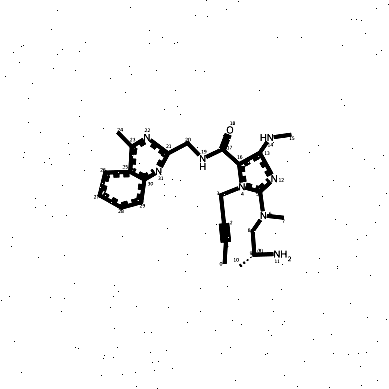 CC#CCn1c(N(C)C[C@@H](C)N)nc(NC)c1C(=O)NCc1nc(C)c2ccccc2n1